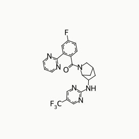 O=C(c1ccc(F)cc1-c1ncccn1)N1CC2CC(Nc3ncc(C(F)(F)F)cn3)C1C2